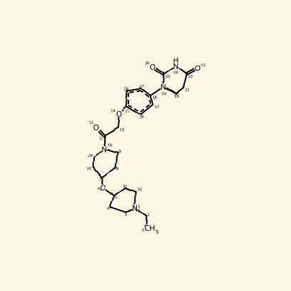 CCN1CCC(OC2CCN(C(=O)COc3ccc(N4CCC(=O)NC4=O)cc3)CC2)CC1